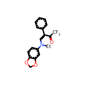 CCN(/C=C(\C(=O)C(F)(F)F)c1ccccc1)c1ccc2c(c1)OCO2